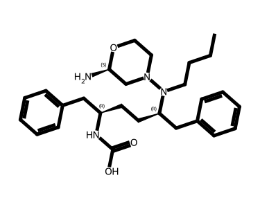 CCCCN([C@H](CC[C@H](Cc1ccccc1)NC(=O)O)Cc1ccccc1)N1CCO[C@H](N)C1